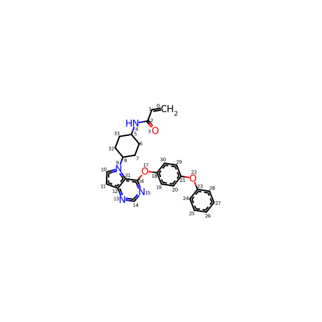 C=CC(=O)NC1CCC(n2ccc3ncnc(Oc4ccc(Oc5ccccc5)cc4)c32)CC1